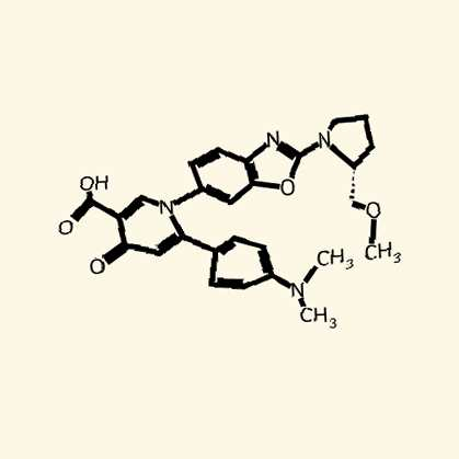 COC[C@H]1CCCN1c1nc2ccc(-n3cc(C(=O)O)c(=O)cc3-c3ccc(N(C)C)cc3)cc2o1